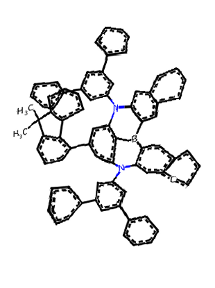 CC1(C)c2ccccc2-c2c(-c3cc4c5c(c3)N(c3cc(-c6ccccc6)cc(-c6ccccc6)c3)c3cc6ccccc6cc3B5c3cc5ccccc5cc3N4c3cc(-c4ccccc4)cc(-c4ccccc4)c3)cccc21